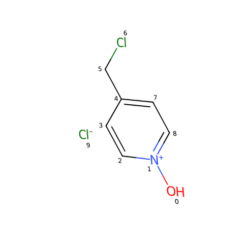 O[n+]1ccc(CCl)cc1.[Cl-]